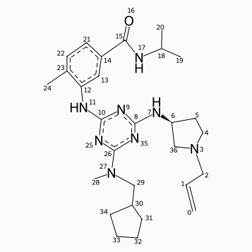 C=CCN1CC[C@H](Nc2nc(Nc3cc(C(=O)NC(C)C)ccc3C)nc(N(C)CC3CCCC3)n2)C1